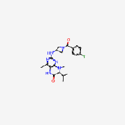 Cc1nc(NC2CN(C(=O)c3ccc(F)cc3)C2)nc2c1NC(=O)[C@H](C(C)C)N2C